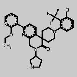 CCOc1ncccc1-c1ccc2c(n1)CN(C1CCNC1)C(=O)C21CCN(c2cccc(Cl)c2C(F)(F)F)CC1